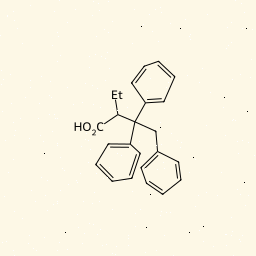 CCC(C(=O)O)C(Cc1ccccc1)(c1ccccc1)c1ccccc1